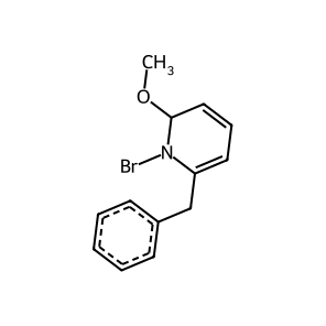 COC1C=CC=C(Cc2ccccc2)N1Br